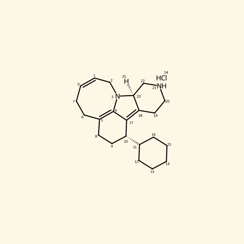 C1=C\CN2C3=C(CC/1)CC[C@@H](C1CCCCC1)C3=C1CCNC[C@@H]12.Cl